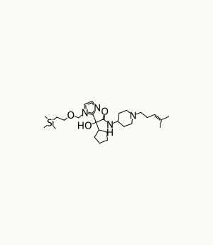 CC(C)=CCCN1CCC(NC(=O)C(O)(c2nccn2COCC[Si](C)(C)C)C2CCCC2)CC1